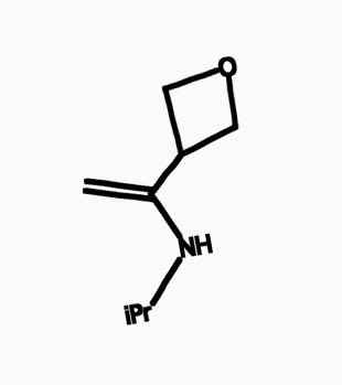 C=C(NC(C)C)C1COC1